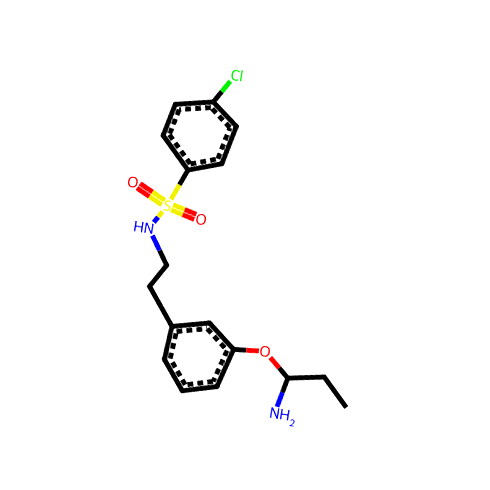 CCC(N)Oc1cccc(CCNS(=O)(=O)c2ccc(Cl)cc2)c1